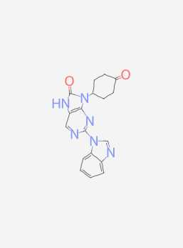 O=C1CCC(n2c(=O)[nH]c3cnc(-n4cnc5ccccc54)nc32)CC1